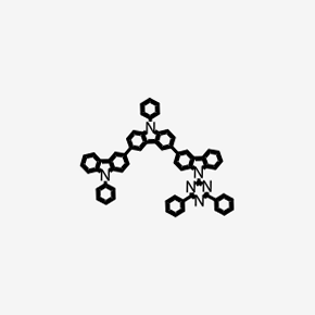 c1ccc(-c2nc(-c3ccccc3)nc(-n3c4ccccc4c4cc(-c5ccc6c(c5)c5cc(-c7ccc8c(c7)c7ccccc7n8-c7ccccc7)ccc5n6-c5ccccc5)ccc43)n2)cc1